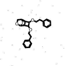 c1ccc(CCOC2C(OCCc3ccccc3)C3C4OCC(O4)C23)cc1